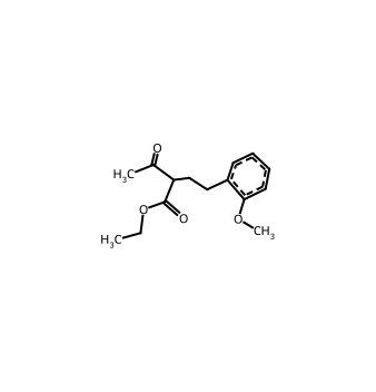 CCOC(=O)C(CCc1ccccc1OC)C(C)=O